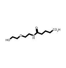 O=C(O)CCCC(=O)NCCOCCO